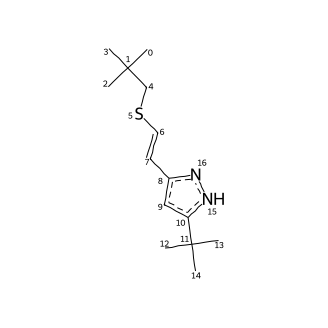 CC(C)(C)CSC=Cc1cc(C(C)(C)C)[nH]n1